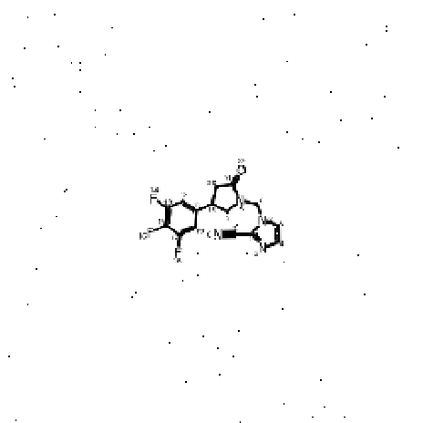 N#Cc1nccn1CN1CC(c2cc(F)c(F)c(F)c2)CC1=O